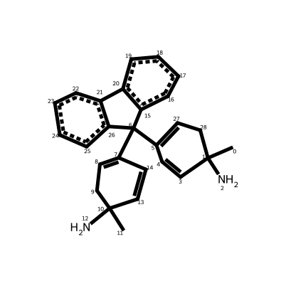 CC1(N)C=CC(C2(C3=CCC(C)(N)C=C3)c3ccccc3-c3ccccc32)=CC1